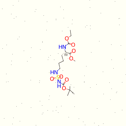 CCOC(=O)N[C@@H](CCCCNS(=O)(=O)NC(=O)OC(C)(C)C)C(=O)OC